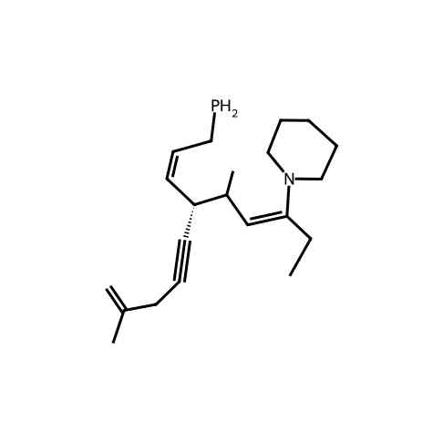 C=C(C)CC#C[C@H](/C=C\CP)C(C)/C=C(/CC)N1CCCCC1